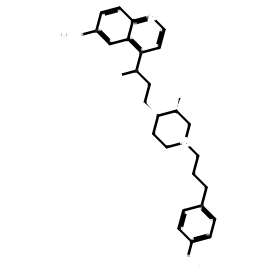 COc1ccc2nccc(C(F)CC[C@@H]3CCN(CCCc4ccc(C)cc4)C[C@@H]3C(=O)O)c2c1